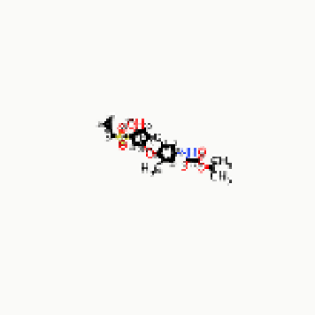 Cc1cc(NC(=O)C(=O)OC(C)C)cc(C)c1Oc1ccc(O)c(S(=O)(=O)CC2CC2)c1